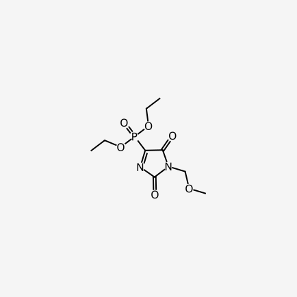 CCOP(=O)(OCC)C1=NC(=O)N(COC)C1=O